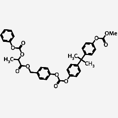 COC(=O)Oc1ccc(C(C)(C)c2ccc(OC(=O)Oc3ccc(COC(=O)C(C)OC(=O)Oc4ccccc4)cc3)cc2)cc1